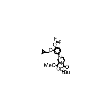 COC(=O)C1CN(c2ccc(OC(F)F)c(OCC3CC3)c2)CCN1C(=O)OC(C)(C)C